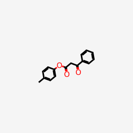 Cc1ccc(OC(=O)CC(=O)c2ccccc2)cc1